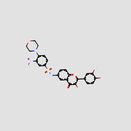 O=c1c(O)c(-c2ccc(O)c(O)c2)oc2ccc(NS(=O)(=O)c3ccc(N4CCOCC4)c([N+](=O)[O-])c3)cc12